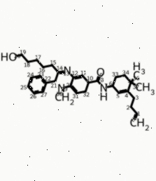 C=CCCC1=CC(NC(=O)C2C=C(/N=C(/CCCCCO)Cc3ccccc3)C(N=C)=CC2)CCC1(C)C